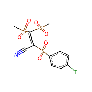 CS(=O)(=O)C(=C(C#N)S(=O)(=O)c1ccc(F)cc1)S(C)(=O)=O